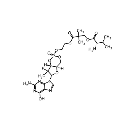 CC(C)[C@H](N)C(=O)OCC(C)(C)C(=O)SCCO[P@@]1(=O)OC[C@H]2O[C@@H](n3cnc4c(O)nc(N)nc43)[C@](C)(F)[C@@H]2O1